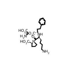 NCC(=O)O.NCCCC[C@H](N[C@@H](CCc1ccccc1)C(=O)O)C(=O)N1CCC[C@H]1C(=O)O